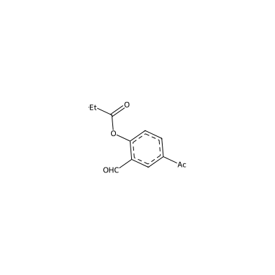 C[CH]C(=O)Oc1ccc(C(C)=O)cc1C=O